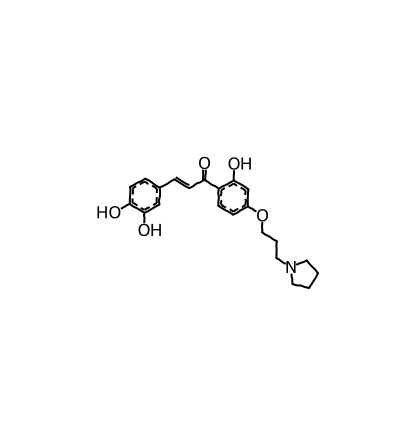 O=C(/C=C/c1ccc(O)c(O)c1)c1ccc(OCCCN2CCCC2)cc1O